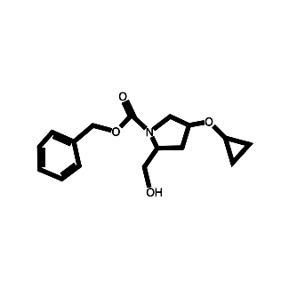 O=C(OCc1ccccc1)N1CC(OC2CC2)CC1CO